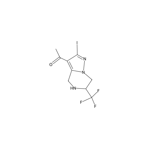 CC(=O)c1c(I)nn2c1CNC(C(F)(F)F)C2